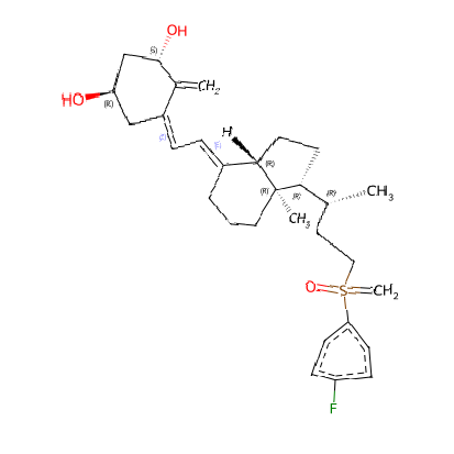 C=C1/C(=C\C=C2/CCC[C@]3(C)[C@@H]([C@H](C)CCS(=C)(=O)c4ccc(F)cc4)CC[C@@H]23)C[C@@H](O)C[C@@H]1O